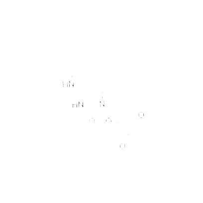 CCCCNC1C=CN(C2CC(OC)C(COC)O2)C(=O)N1